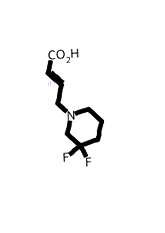 O=C(O)/C=C/CN1CCCC(F)(F)C1